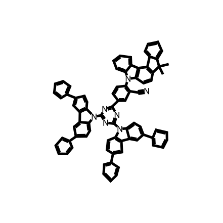 CC1(C)c2ccccc2-c2c1ccc1c2c2ccccc2n1-c1ccc(-c2nc(-n3c4ccc(-c5ccccc5)cc4c4cc(-c5ccccc5)ccc43)nc(-n3c4ccc(-c5ccccc5)cc4c4cc(-c5ccccc5)ccc43)n2)cc1C#N